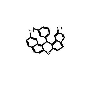 Oc1ccc2ccc3c(c2c1)C(c1cccc(I)c1)c1c(ccc2ccc(O)cc12)O3